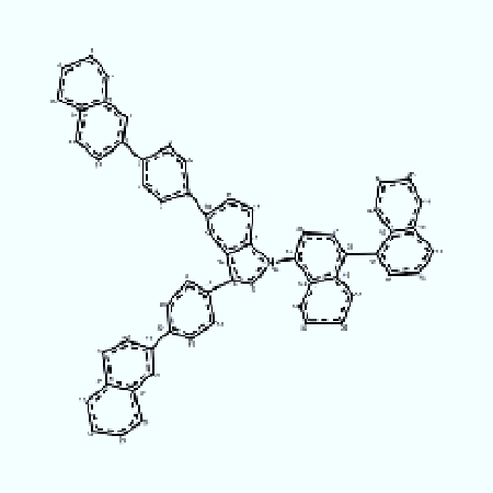 c1ccc2cc(-c3ccc(-c4ccc5c(c4)c(-c4ccc(-c6ccc7ccccc7c6)cc4)cn5-c4ccc(-c5cccc6ccccc56)c5ccccc45)cc3)ccc2c1